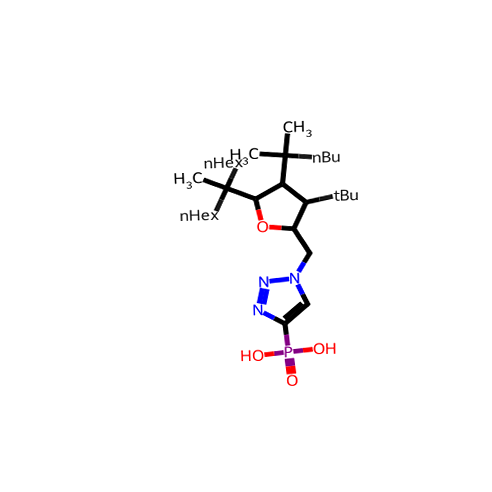 CCCCCCC(C)(CCCCCC)C1OC(Cn2cc(P(=O)(O)O)nn2)C(C(C)(C)C)C1C(C)(C)CCCC